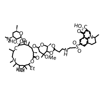 CCC1OC(=O)[C@H](C)C(OC2CC(C)(OC)C(OC(=O)CCNCCS(=O)(=O)c3cc4c5c(c3)c(=O)c(C(=O)O)cn5C(C)CC4)[C@H](C)O2)C(C)C(O[C@@H]2O[C@H](C)C[C@H](N(C)C)C2O)[C@](C)(O)CC(C)CN(C)C(C)C(O)C1(C)O